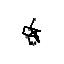 CC1(C)[C@H]2CC[C@]1(S(=O)(=O)O)C(=O)C2